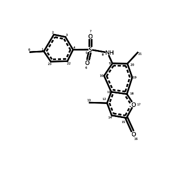 Cc1ccc(S(=O)(=O)Nc2cc3c(C)cc(=O)oc3cc2C)cc1